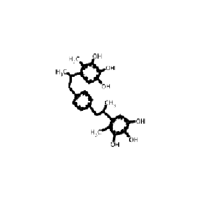 Cc1c(C(C)Cc2ccc(CC(C)c3cc(O)c(O)c(O)c3C)cc2)cc(O)c(O)c1O